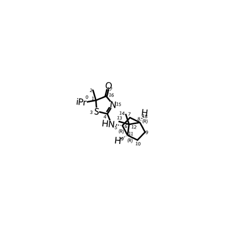 CC(C)C1(C)SC(N[C@@H]2C[C@H]3CC[C@@H]2C3(C)C)=NC1=O